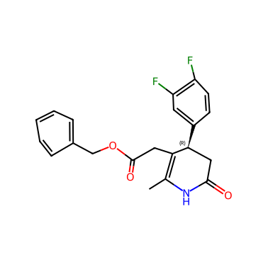 CC1=C(CC(=O)OCc2ccccc2)[C@@H](c2ccc(F)c(F)c2)CC(=O)N1